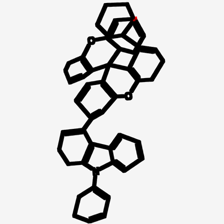 C1=CCCC(n2c3c(c4ccccc42)C(c2ccc4c(c2)OC2=C(C(C5CCCCC5)=CCC2)C42C4=C(CCC=C4)OC4=CC=CCC42)=CCC3)=C1